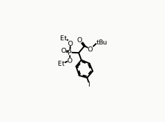 CCOP(=O)(OCC)C(C(=O)OC(C)(C)C)c1ccc(I)cc1